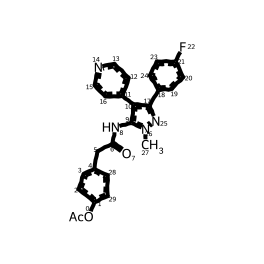 CC(=O)Oc1ccc(CC(=O)Nc2c(-c3ccncc3)c(-c3ccc(F)cc3)nn2C)cc1